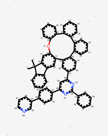 CC1(C)c2ccccc2-c2cc3c(cc21)Oc1ccccc1-c1ccccc1-c1ccccc1-c1ccc(-c2cc(-c4ccc(-c5cccnc5)cc4)nc(-c4ccccc4)n2)cc1-3